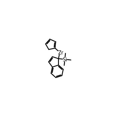 C[Si](C)(C)[C]1([Zr][C]2=CC=CC2)C=Cc2ccccc21